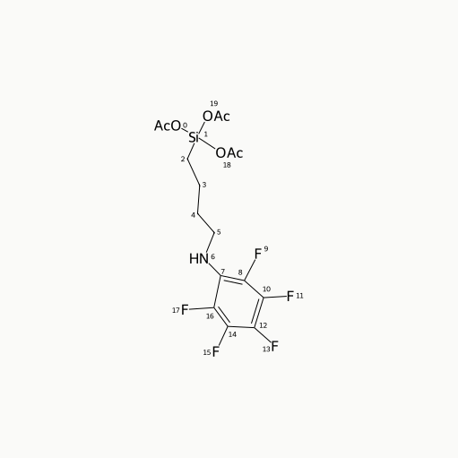 CC(=O)O[Si](CCCCNc1c(F)c(F)c(F)c(F)c1F)(OC(C)=O)OC(C)=O